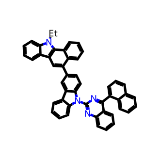 CCn1c2ccccc2c2cc(-c3ccc4c(c3)c3ccccc3n4-c3nc(-c4cccc5ccccc45)c4ccccc4n3)c3ccccc3c21